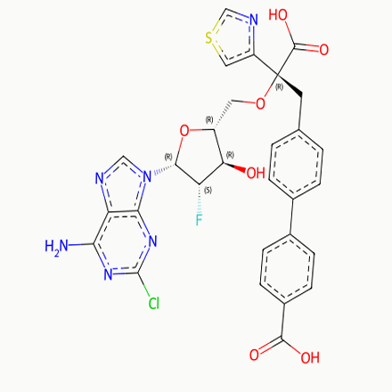 Nc1nc(Cl)nc2c1ncn2[C@@H]1O[C@H](CO[C@@](Cc2ccc(-c3ccc(C(=O)O)cc3)cc2)(C(=O)O)c2cscn2)[C@@H](O)[C@@H]1F